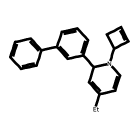 CCC1=CC(c2cccc(-c3ccccc3)c2)N(C2C=CC2)C=C1